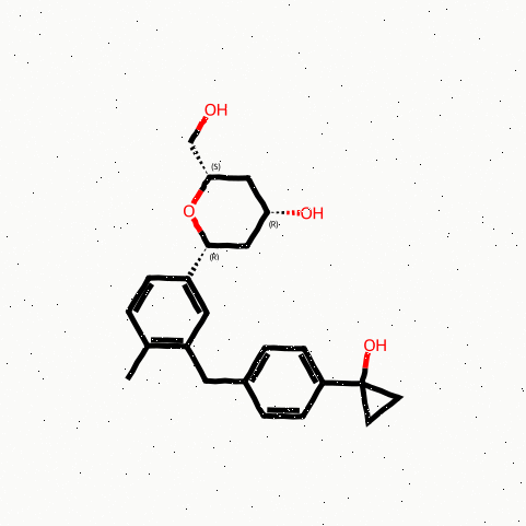 Cc1ccc([C@H]2C[C@@H](O)C[C@@H](CO)O2)cc1Cc1ccc(C2(O)CC2)cc1